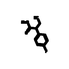 COC(=O)C(CC#N)c1ccc(F)cc1